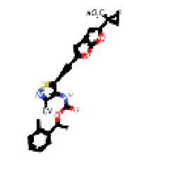 Cc1ccccc1C(C)OC(=O)Nc1c(C#N)nsc1C#Cc1cc2cc(C3(C(=O)O)CC3)oc2o1